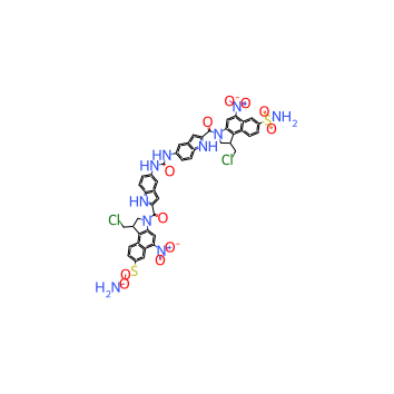 NOOSc1ccc2c3c(cc([N+](=O)[O-])c2c1)N(C(=O)c1cc2cc(NC(=O)Nc4ccc5[nH]c(C(=O)N6CC(CCl)c7c6cc([N+](=O)[O-])c6cc(S(N)(=O)=O)ccc76)cc5c4)ccc2[nH]1)CC3CCl